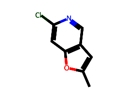 Cc1cc2cnc(Cl)cc2o1